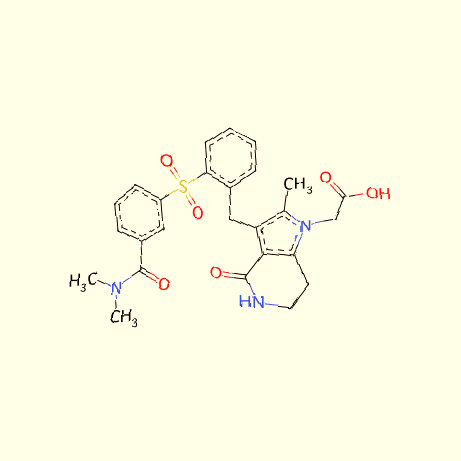 Cc1c(Cc2ccccc2S(=O)(=O)c2cccc(C(=O)N(C)C)c2)c2c(n1CC(=O)O)CCNC2=O